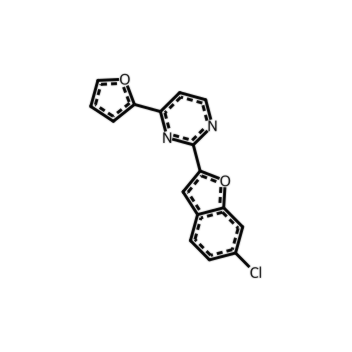 Clc1ccc2cc(-c3nccc(-c4ccco4)n3)oc2c1